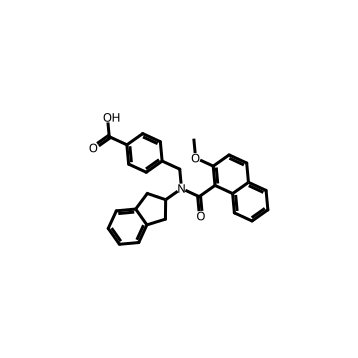 COc1ccc2ccccc2c1C(=O)N(Cc1ccc(C(=O)O)cc1)C1Cc2ccccc2C1